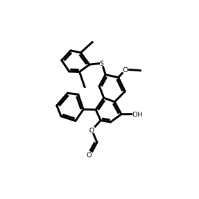 COc1cc2c(O)cc(OC=O)c(-c3ccccc3)c2cc1Sc1c(C)cccc1C